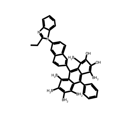 Bc1c(B)c(B)c2c(-c3ccc4cc(-n5c(CC)nc6ccccc65)ccc4c3)c3c(B)c(O)c(O)c(B)c3c(-c3ccccc3)c2c1B